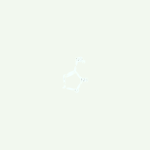 O=[N+]([O-])C1=C[CH]ON1